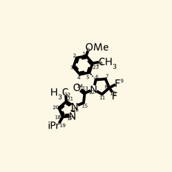 COc1cccc([C@@H]2CC(F)(F)CN2C(=O)Cn2nc(C(C)C)cc2C)c1C